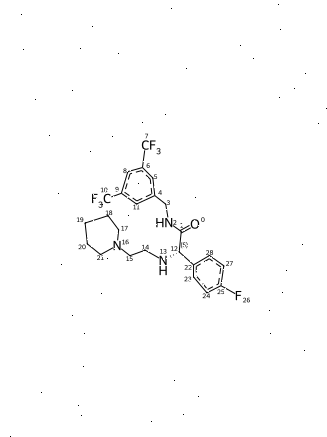 O=C(NCc1cc(C(F)(F)F)cc(C(F)(F)F)c1)[C@@H](NCCN1CCCCC1)c1ccc(F)cc1